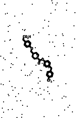 O=C(O)Cc1ccc(OCC2CCN(C(=O)Oc3ccc(Cc4ccc(C(F)(F)F)cc4)cc3)CC2)cc1